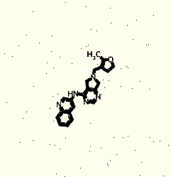 CC1=C(CN2Cc3ncnc(Nc4cnc5ccccc5c4)c3C2)CCO1